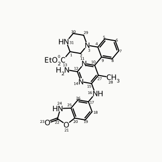 CCOC(=O)C1CN(c2ccccc2-c2nc(N)nc(Nc3ccc4oc(=O)[nH]c4c3)c2C)CCN1